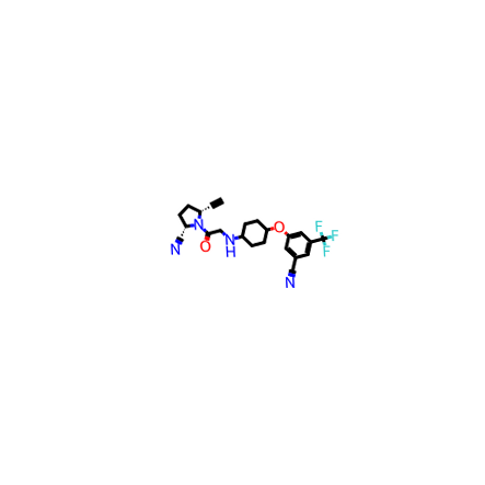 C#C[C@H]1CC[C@@H](C#N)N1C(=O)CNC1CCC(Oc2cc(C#N)cc(C(F)(F)F)c2)CC1